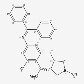 COC(=O)c1c(Cl)cc(N=C(c2ccccc2)c2ccccc2)nc1OC1CCB(C#N)C1